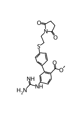 COC(=O)c1ccc(NC(=N)N)cc1-c1ccc(SCCN2C(=O)CCC2=O)cc1